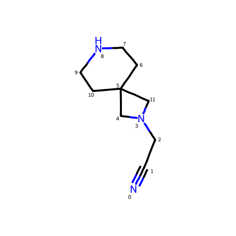 N#CCN1CC2(CCNCC2)C1